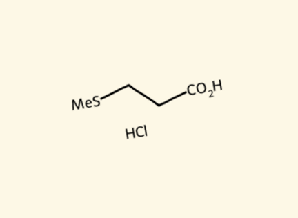 CSCCC(=O)O.Cl